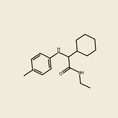 CCNC(=O)C(Nc1ccc(C)cc1)C1CCCCC1